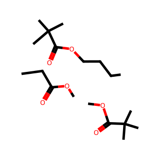 CCC(=O)OC.CCCCOC(=O)C(C)(C)C.COC(=O)C(C)(C)C